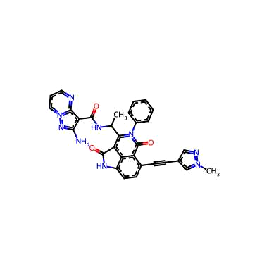 CC(NC(=O)c1c(N)nn2cccnc12)c1c2c3c(ccc(C#Cc4cnn(C)c4)c3c(=O)n1-c1ccccc1)NC2=O